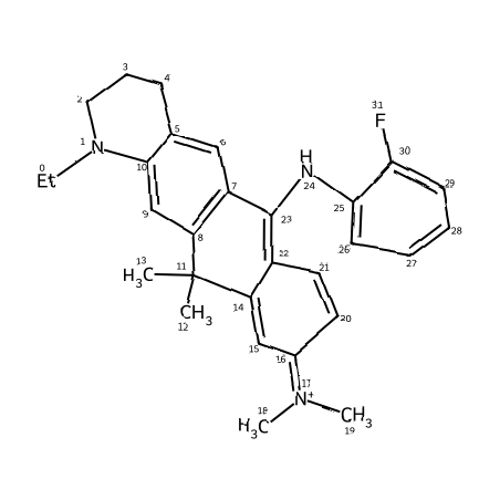 CCN1CCCc2cc3c(cc21)C(C)(C)C1=CC(=[N+](C)C)C=CC1=C3Nc1ccccc1F